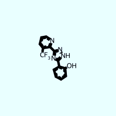 Oc1ccccc1-c1nc(-c2ncccc2C(F)(F)F)n[nH]1